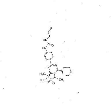 CC1c2c(N3CCOCC3)nc(-c3ccc(NC(=O)NCCF)cc3)nc2C(C)(C)S1(=O)=O